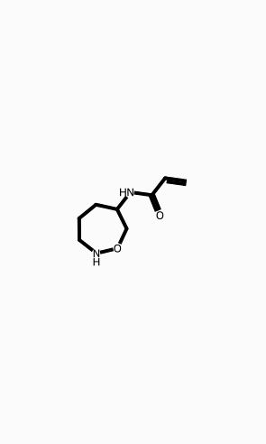 C=CC(=O)NC1CCCNOC1